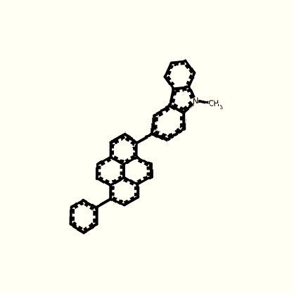 Cn1c2ccccc2c2cc(-c3ccc4ccc5c(-c6ccccc6)ccc6ccc3c4c65)ccc21